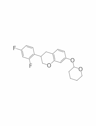 Fc1ccc(C2COc3cc(OC4CCCCO4)ccc3C2)c(F)c1